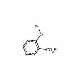 CCOC(=O)c1cnccc1OCC